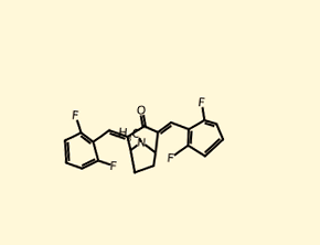 CN1C2CCC1/C(=C\c1c(F)cccc1F)C(=O)/C2=C/c1c(F)cccc1F